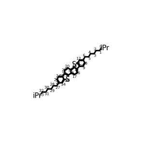 CC(C)CCCCCCc1ccc2c(c1)sc1c2ccc2c1ccc1c3ccc(CCCCCCC(C)C)cc3sc12